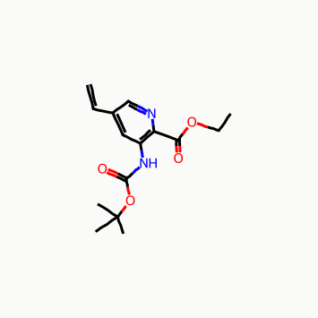 C=Cc1cnc(C(=O)OCC)c(NC(=O)OC(C)(C)C)c1